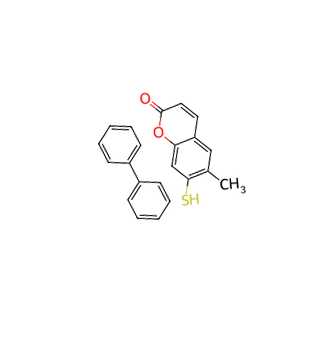 Cc1cc2ccc(=O)oc2cc1S.c1ccc(-c2ccccc2)cc1